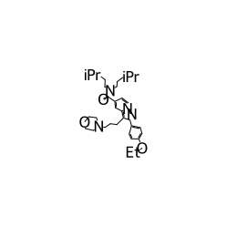 CCOc1ccc(-c2nn3ccc(C(=O)N(CCC(C)C)CCC(C)C)cc3c2CCCN2CCOCC2)cc1